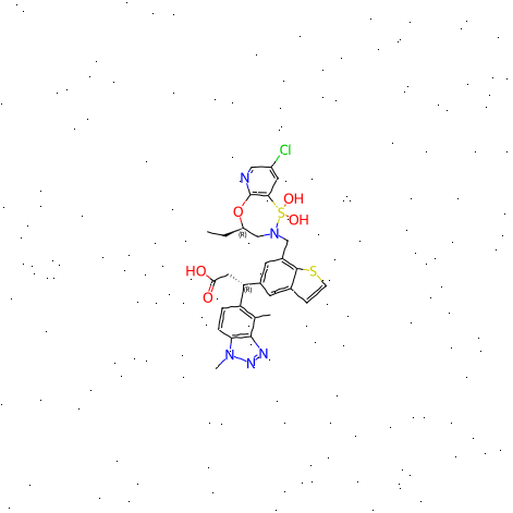 CC[C@@H]1CN(Cc2cc([C@@H](CC(=O)O)c3ccc4c(nnn4C)c3C)cc3ccsc23)S(O)(O)c2cc(Cl)cnc2O1